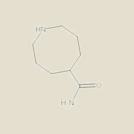 NC(=O)C1CCCNCCC1